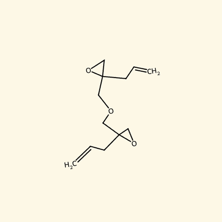 C=CCC1(COCC2(CC=C)CO2)CO1